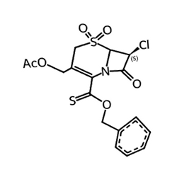 CC(=O)OCC1=C(C(=S)OCc2ccccc2)N2C(=O)[C@H](Cl)C2S(=O)(=O)C1